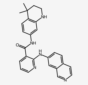 CC1(C)CCNc2cc(NC(=O)c3cccnc3Nc3ccc4ccncc4c3)ccc21